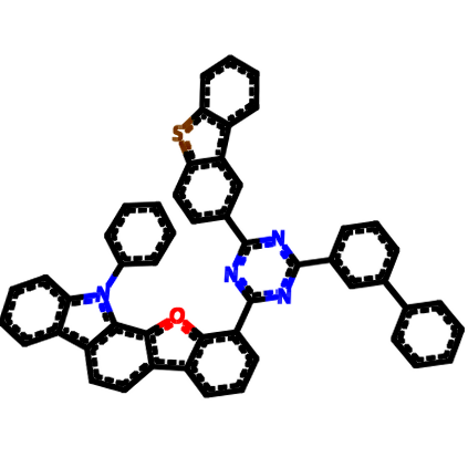 c1ccc(-c2cccc(-c3nc(-c4ccc5sc6ccccc6c5c4)nc(-c4cccc5c4oc4c5ccc5c6ccccc6n(-c6ccccc6)c54)n3)c2)cc1